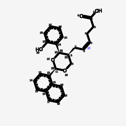 O=C(O)CC/C=C\C[C@@H]1CO[C@H](c2cccc3ccccc23)O[C@@H]1c1ccccc1O